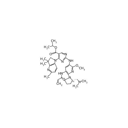 C=CC(=O)Nc1cc(Nc2ncc(C(=O)OC(C)C)c(N3CC(C)(C)c4nc(C)ccc43)n2)c(OC)nc1N1CCC[C@H]1CN(C)C